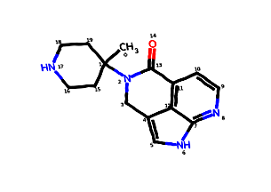 CC1(N2Cc3c[nH]c4nccc(c34)C2=O)CCNCC1